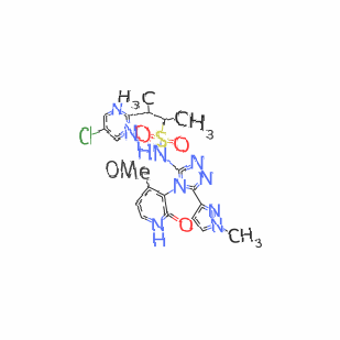 COc1cc[nH]c(=O)c1-n1c(NS(=O)(=O)C(C)C(C)c2ncc(Cl)cn2)nnc1-c1ccn(C)n1